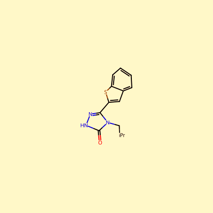 CC(C)Cn1c(-c2cc3ccccc3s2)n[nH]c1=O